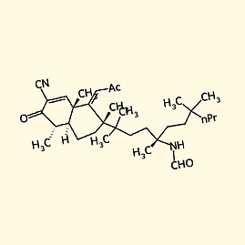 CCCC(C)(C)CC[C@@](C)(CCC(C)(C)[C@]1(C)CC[C@H]2[C@H](C)C(=O)C(C#N)=C[C@]2(C)/C1=C/C(C)=O)NC=O